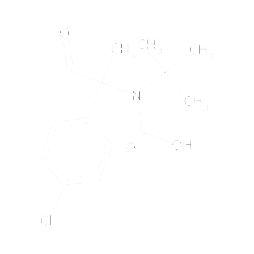 CC(C)(C)N(C(=O)O)C(C)(C=O)c1ccc(Cl)cc1